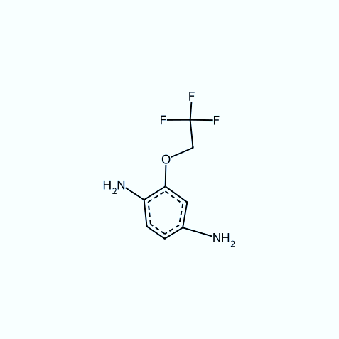 Nc1ccc(N)c(OCC(F)(F)F)c1